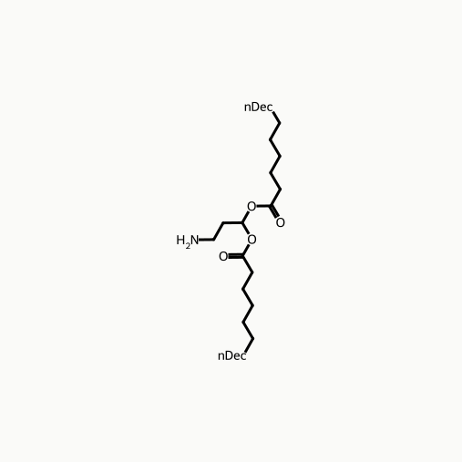 CCCCCCCCCCCCCCCC(=O)OC(CCN)OC(=O)CCCCCCCCCCCCCCC